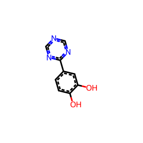 Oc1ccc(-c2ncncn2)cc1O